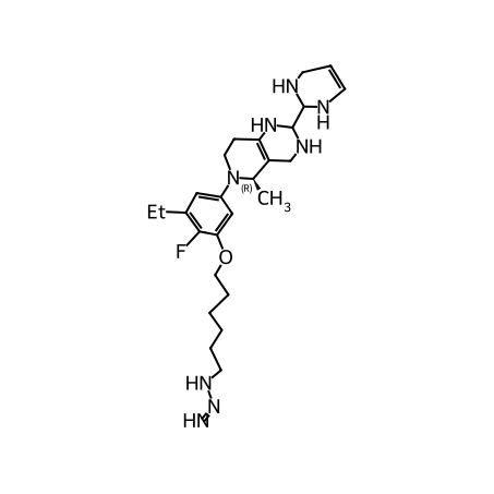 CCc1cc(N2CCC3=C(CNC(C4NC=CCN4)N3)[C@H]2C)cc(OCCCCCCNN=N)c1F